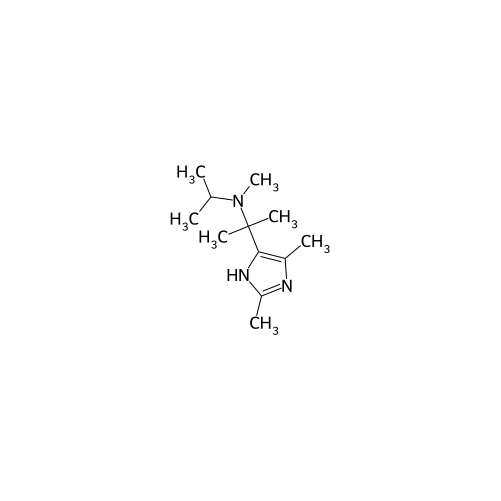 Cc1nc(C)c(C(C)(C)N(C)C(C)C)[nH]1